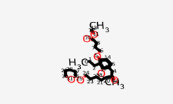 CCCc1c(OCCCC(=O)OCC)ccc2c1OC(C)(CCCCOC1CCCCO1)C(=O)C2